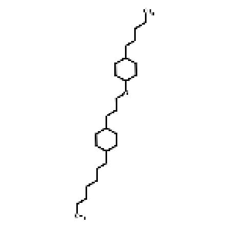 CCCCCCCC1CCC(CCCOC2CCC(CCCCC)CC2)CC1